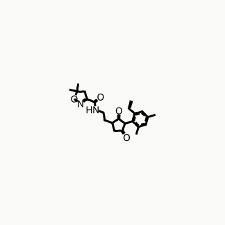 C=Cc1cc(C)cc(C)c1C1C(=O)CC(CCNC(=O)C2=NOC(C)(C)C2)C1=O